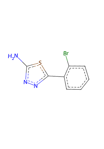 Nc1nnc(-c2ccccc2Br)s1